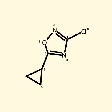 Clc1noc(C2CC2)n1